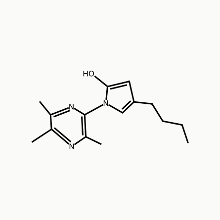 CCCCc1cc(O)n(-c2nc(C)c(C)nc2C)c1